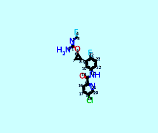 N/C(=N/CF)O[C@@H]1C[C@@H]1c1cc(NC(=O)c2ccc(Cl)cn2)ccc1F